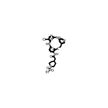 CCS(=O)(=O)N1CCC(CC(=O)Nc2ccc3cc2CCc2cncc(c2)Nc2ncc(Cl)c(n2)N3)CC1